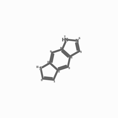 c1cc2cc3cn[nH]c3cc2s1